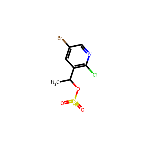 CC(O[SH](=O)=O)c1cc(Br)cnc1Cl